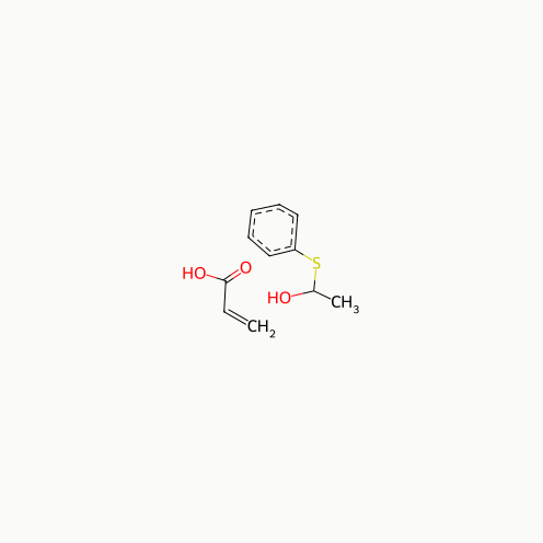 C=CC(=O)O.CC(O)Sc1ccccc1